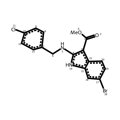 COC(=O)c1c(NCc2ccc(Cl)cc2)[nH]c2cc(Br)ccc12